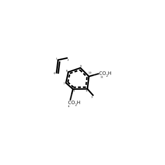 C=CC.Cc1c(C(=O)O)cccc1C(=O)O